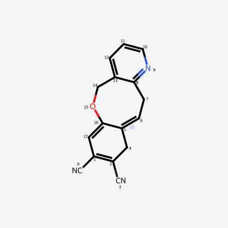 N#CC1=C(C#N)C/C2=C/Cc3ncccc3COC2=C1